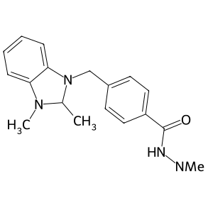 CNNC(=O)c1ccc(CN2c3ccccc3N(C)C2C)cc1